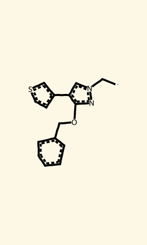 [CH2]Cn1cc(-c2ccsc2)c(OCc2ccccc2)n1